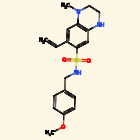 C=Cc1cc2c(cc1S(=O)(=O)NCc1ccc(OC)cc1)NCCN2C